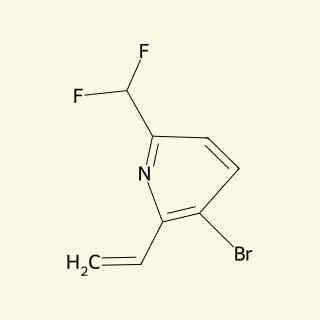 C=Cc1nc(C(F)F)ccc1Br